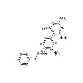 CCc1nc(N)nc(N)c1-c1ccc(NCCc2ccccc2)c([N+](=O)[O-])c1